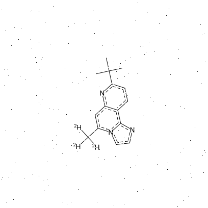 [2H]C([2H])([2H])c1cc2nc(C(C)(C)C)ccc2c2nccn12